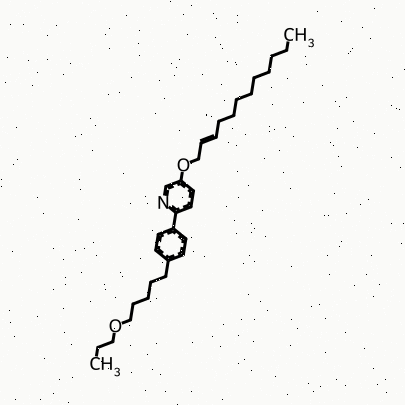 CCCCCCCCC/C=C/COc1ccc(-c2ccc(CCCCCOCCC)cc2)nc1